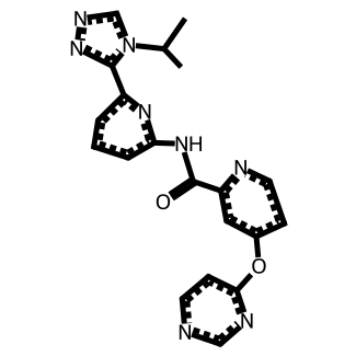 CC(C)n1cnnc1-c1cccc(NC(=O)c2cc(Oc3ccncn3)ccn2)n1